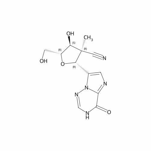 C[C@@]1(C#N)[C@H](O)[C@@H](CO)O[C@H]1c1cnc2c(=O)[nH]cnn12